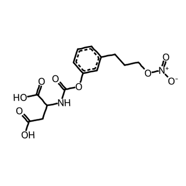 O=C(O)CC(NC(=O)Oc1cccc(CCCO[N+](=O)[O-])c1)C(=O)O